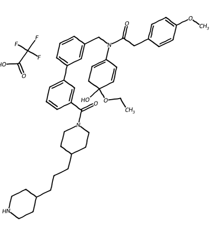 CCOC1(O)C=CC(N(Cc2cccc(-c3cccc(C(=O)N4CCC(CCCC5CCNCC5)CC4)c3)c2)C(=O)Cc2ccc(OC)cc2)=CC1.O=C(O)C(F)(F)F